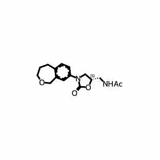 CC(=O)NC[C@H]1CN(c2ccc3c(c2)COCCC3)C(=O)O1